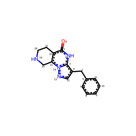 O=c1[nH]c2c(Cc3ccccc3)cnn2c2c1CCNC2